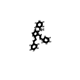 C(=C\c1ccc2c(c1/C=C/c1ccccc1)Nc1ccccc1S2)/c1ccccc1